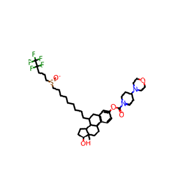 CC12CCC3c4ccc(OC(=O)N5CCC(N6CCOCC6)CC5)cc4CC(CCCCCCCCC[S+]([O-])CCCC(F)(F)C(F)(F)F)C3C1CCC2O